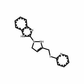 C1=C(CSc2ccccn2)NN(c2nc3ccccc3[nH]2)C1